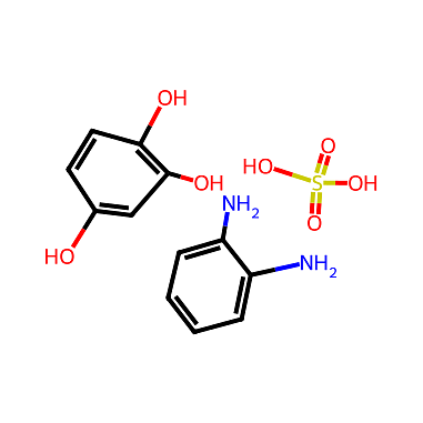 Nc1ccccc1N.O=S(=O)(O)O.Oc1ccc(O)c(O)c1